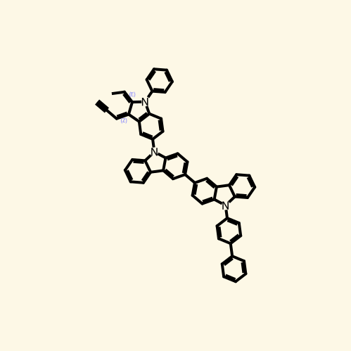 C#C/C=c1\c(=C/C)n(-c2ccccc2)c2ccc(-n3c4ccccc4c4cc(-c5ccc6c(c5)c5ccccc5n6-c5ccc(-c6ccccc6)cc5)ccc43)cc12